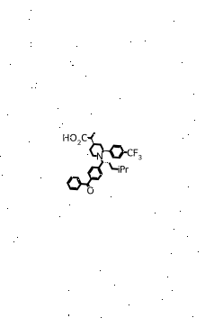 CC(C)CC[C@H](c1ccc(C(=O)c2ccccc2)cc1)N1CC[C@@H](C(C)C(=O)O)C[C@H]1c1ccc(C(F)(F)F)cc1